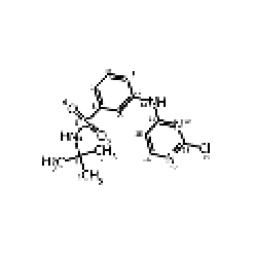 CC(C)(C)NS(=O)(=O)c1cccc(Nc2ccnc(Cl)n2)c1